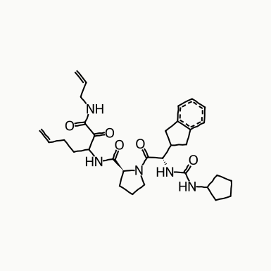 C=CCCC(NC(=O)[C@@H]1CCCN1C(=O)[C@@H](NC(=O)NC1CCCC1)C1Cc2ccccc2C1)C(=O)C(=O)NCC=C